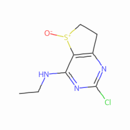 CCNc1nc(Cl)nc2c1[S+]([O-])CC2